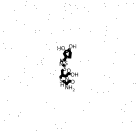 NC1C(=O)N2C(C(=O)O)=C(CSc3nnc(-c4ccc(O)c(O)c4)s3)CS[C@H]12